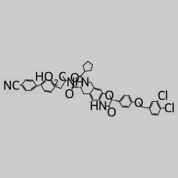 N#Cc1ccc(-c2ccc(CC(NC(=O)[C@@H]3Cc4cc5c(cc4CN3C(=O)C3CCCC3)O[C@@H](c3ccc(OCc4ccc(Cl)c(Cl)c4)cc3)C(=O)N5)C(=O)O)cc2)cc1